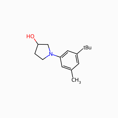 Cc1cc(N2CCC(O)C2)cc(C(C)(C)C)c1